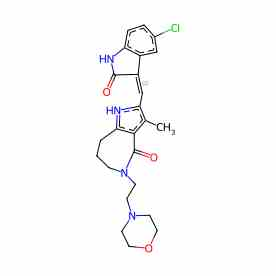 Cc1c(/C=C2\C(=O)Nc3ccc(Cl)cc32)[nH]c2c1C(=O)N(CCN1CCOCC1)CCC2